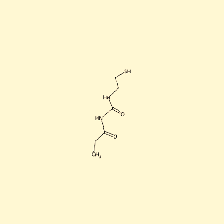 CCC(=O)NC(=O)NCCS